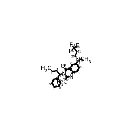 CCCC(c1ccccc1)n1c(C)nc2ccc(N(C)CCC(F)(F)F)cc2c1=O